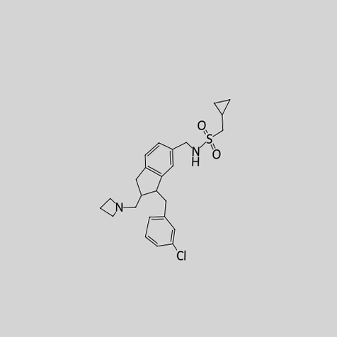 O=S(=O)(CC1CC1)NCc1ccc2c(c1)C(Cc1cccc(Cl)c1)C(CN1CCC1)C2